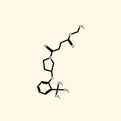 CCOC(=O)CCC(=O)N1CCC(Oc2ccccc2C(C)(C)C)C1